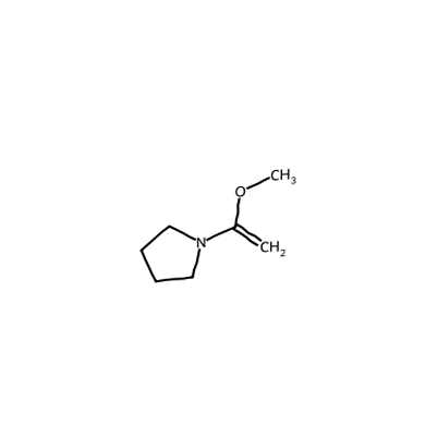 C=C(OC)N1CCCC1